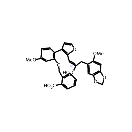 COc1ccc(-c2ccoc2/C=C(\Cc2cc3c(cc2OC)OCO3)C(=O)O)c(OCc2ccccc2C(=O)O)c1